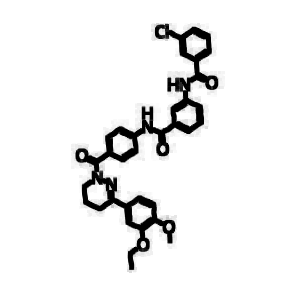 CCOc1cc(C2=NN(C(=O)c3ccc(NC(=O)c4cccc(NC(=O)c5cccc(Cl)c5)c4)cc3)CCC2)ccc1OC